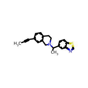 CC#Cc1ccc2c(c1)CN(C(C)c1ccc3scnc3c1)CC2